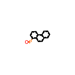 O=Pc1cccc2c1ccc1ccccc12